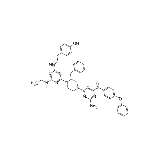 CCNc1nc(NCCc2ccc(O)cc2)nc(N2CCN(c3nc(N)nc(Nc4ccc(Oc5ccccc5)cc4)n3)CC2Cc2ccccc2)n1